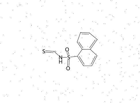 O=S(=O)(N[C]=S)c1cccc2ccccc12